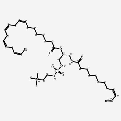 CC/C=C\C/C=C\C/C=C\C/C=C\CCCCCCC(=O)O[C@H](COC(=O)CCCCCCC/C=C\CCCCCC)COP(=O)([O-])OCC[N+](C)(C)C